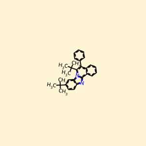 CC(C)(C)c1ccc2nc3c4ccccc4c(-c4ccccc4)c(C(C)(C)C)n3c2c1